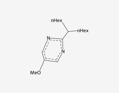 CCCCCCC(CCCCCC)c1ncc(OC)cn1